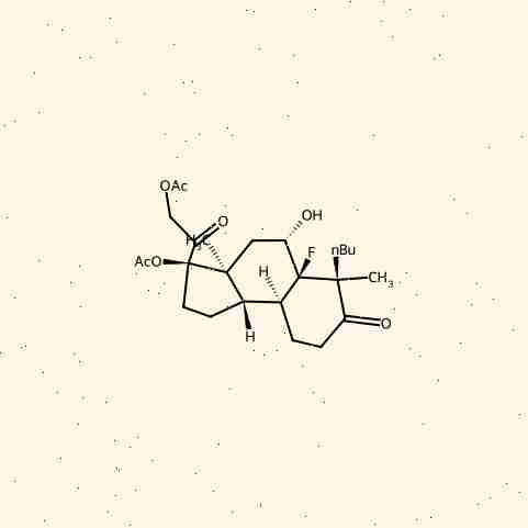 CCCC[C@@]1(C)C(=O)CC[C@H]2[C@@H]3CC[C@](OC(C)=O)(C(=O)COC(C)=O)[C@@]3(C)C[C@H](O)[C@@]21F